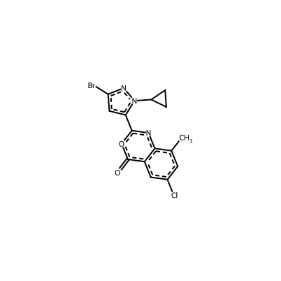 Cc1cc(Cl)cc2c(=O)oc(-c3cc(Br)nn3C3CC3)nc12